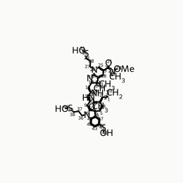 C=C/C=C(\C=C/C1(C)\C(=C/C=C/C=C/C2=NC3C(=CC(C(=O)N(C)OC)=CN3CCCSO)C2(C)C)N(CCCSO)c2ccc(SO)cc21)C(=O)NN